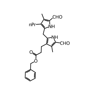 CCCc1c(Cc2[nH]c(C=O)c(C)c2CCC(=O)OCc2ccccc2)[nH]c(C=O)c1C